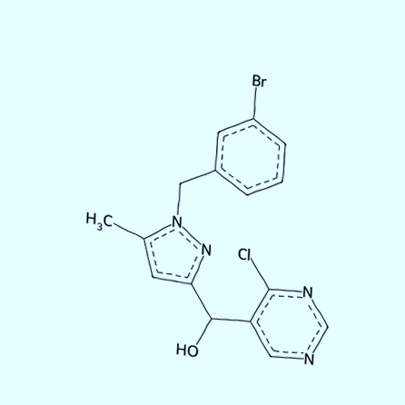 Cc1cc(C(O)c2cncnc2Cl)nn1Cc1cccc(Br)c1